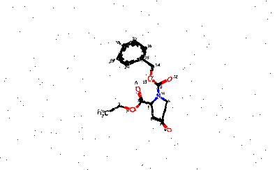 CCOC(=O)C1CC(=O)CN1C(=O)OCc1ccccc1